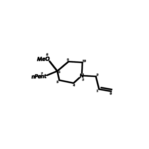 C=CCN1CCC(CCCCC)(OC)CC1